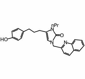 CCCn1c(CCCc2ccc(O)cc2)cn(Cc2ccc3ccccc3n2)c1=O